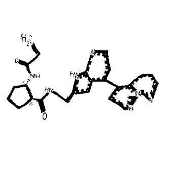 C=CC(=O)N[C@H]1CCC[C@@H]1C(=O)NCc1cc2c(-c3cnn4ncccc34)ccnc2[nH]1